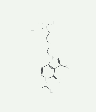 CCOC(=O)C(CC)n1ccc2c(c(Br)cn2COCC[Si](C)(C)C)c1=O